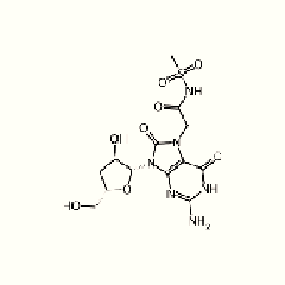 CS(=O)(=O)NC(=O)Cn1c(=O)n([C@@H]2O[C@H](CO)C[C@H]2O)c2nc(N)[nH]c(=O)c21